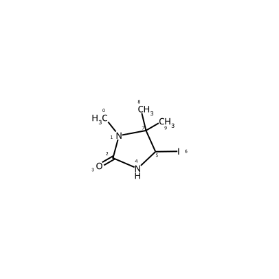 CN1C(=O)NC(I)C1(C)C